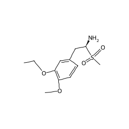 CCOc1cc(C[C@@H](N)S(C)(=O)=O)ccc1OC